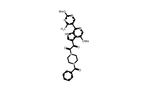 COc1ncc(-c2ncc(OC)c3c(C(=O)C(=O)N4CCN(C(=O)c5ccccc5)CC4)c[nH]c23)c(C)n1